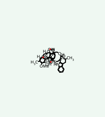 COc1c(C)cc2c(c1O)[C@H]1[C@@H]3[C@@H]4SC[C@]5(N[C@@H](C)Cc6c5[nH]c5ccccc65)C(=O)OC[C@@H](c5c6c(c(C)c(C)c54)OCO6)N3[C@@H](O)[C@@H](C2)N1C